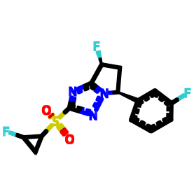 O=S(=O)(c1nc2n(n1)[C@H](c1cccc(F)c1)C[C@@H]2F)C1CC1F